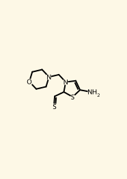 NC1=CN(CN2CCOCC2)C(C=S)S1